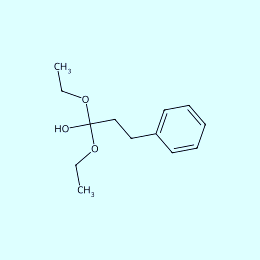 CCOC(O)(CCc1ccccc1)OCC